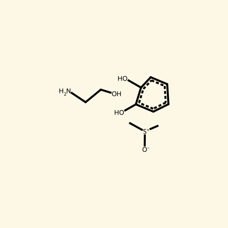 C[S+](C)[O-].NCCO.Oc1ccccc1O